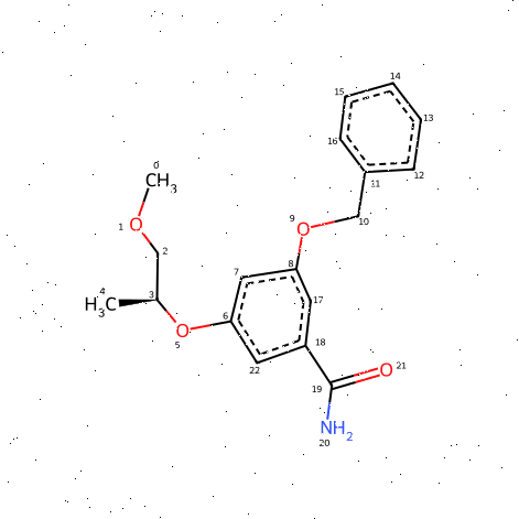 COC[C@H](C)Oc1cc(OCc2ccccc2)cc(C(N)=O)c1